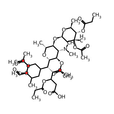 CCC(=O)OC(CC(=O)O)C(OC)[C@H](C(CC(OC)OC)CC(C)C(C=O)OC(C)=O)[C@@H]1O[C@H](C)[C@@H](O[C@@H]2C[C@@](C)(OC(C)=O)[C@@H](OC(=O)CC)[C@H](C)O2)[C@H](N(C)C)[C@H]1OC(C)=O